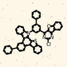 Clc1nc(-c2cc(-c3ccccc3)cc(-n3c4ccccc4c4c5cc(-c6ccccc6)ccc5c5c6ccccc6sc5c43)c2)c2oc3ccccc3c2n1